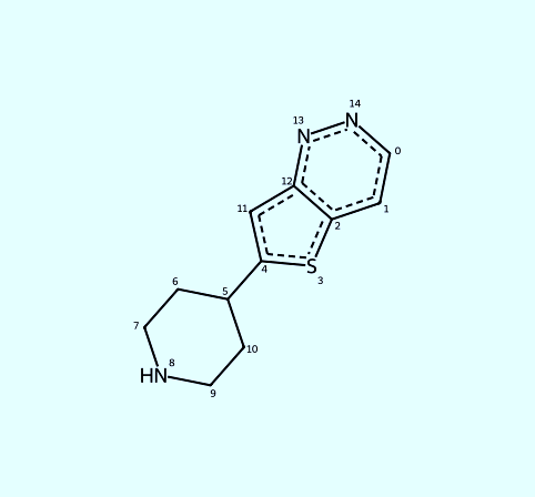 c1cc2sc(C3CCNCC3)cc2nn1